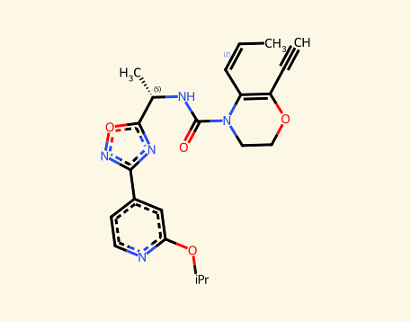 C#CC1=C(/C=C\C)N(C(=O)N[C@@H](C)c2nc(-c3ccnc(OC(C)C)c3)no2)CCO1